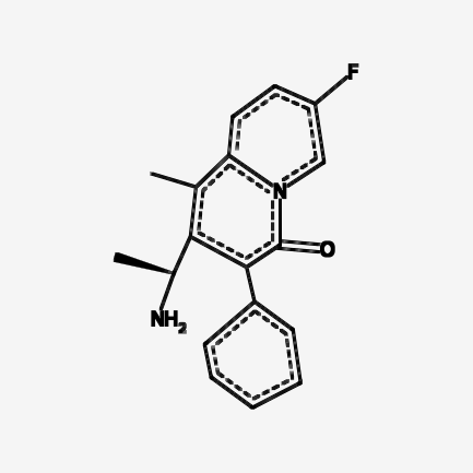 Cc1c([C@H](C)N)c(-c2ccccc2)c(=O)n2cc(F)ccc12